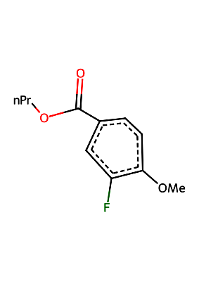 CCCOC(=O)c1ccc(OC)c(F)c1